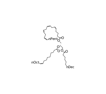 CCCCC/C=C\C/C=C\C/C=C\C/C=C\CCCC(=O)OC[C@H](COC(=O)CCCCCCCCCCCCCCC)OC(=O)CCCCCCC/C=C\CCCCCCCC